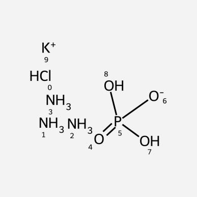 Cl.N.N.N.O=P([O-])(O)O.[K+]